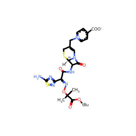 CC(C)(C)OC(=O)C(C)(C)ON=C(C(=O)NC1C(=O)N2C=C(C[n+]3ccc(C(=O)[O-])cc3)CS[C@H]12)c1nsc(N)n1